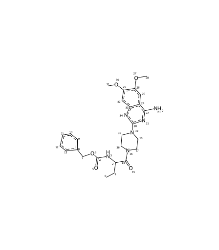 CCC(NC(=O)OCc1ccccc1)C(=O)N1CCN(c2nc(N)c3cc(OC)c(OC)cc3n2)CC1